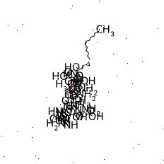 CCCCCC/C=C\CCCCC[C@@H]1C[C@H]1/C=C/C(O)C(=O)N[C@H](C(=O)N(C)[C@@H](CC(=O)O)C(=O)N(CO[C@](C)(CC)[C@H](NC(=O)C(NC(=O)[C@@H](N)CC(=O)O)C(O)C(O)CNC(=N)N)C(=O)NCC(=O)N[C@@H](CO)C(=O)O)[C@]12CC(=O)N(C(N)N)C[C@H]1C2)[C@H](O)C(=O)O